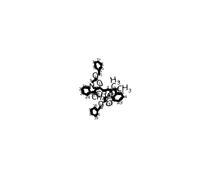 CC1(C)C(/C=C/C=C2/N(CC(=O)OCc3ccccc3)c3ccccc3C2(C)C)=[N+](CC(=O)OCc2ccccc2)c2ccccc21